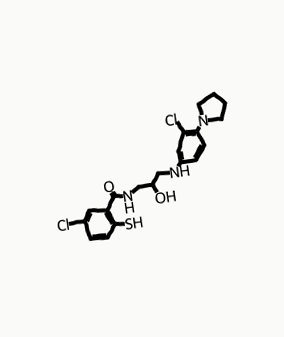 O=C(NCC(O)CNc1ccc(N2CCCC2)c(Cl)c1)c1cc(Cl)ccc1S